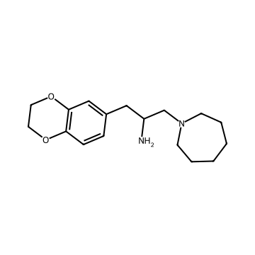 NC(Cc1ccc2c(c1)OCCO2)CN1CCCCCC1